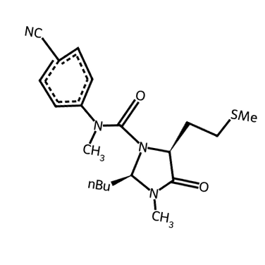 CCCC[C@@H]1N(C)C(=O)[C@H](CCSC)N1C(=O)N(C)c1ccc(C#N)cc1